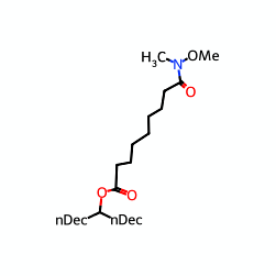 CCCCCCCCCCC(CCCCCCCCCC)OC(=O)CCCCCCCC(=O)N(C)OC